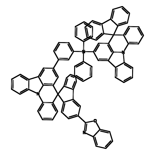 c1ccc([Si](c2ccccc2)(c2cccc(-c3cc4c5c(c3)c3ccccc3n5-c3ccccc3C43c4ccccc4-c4cc(-c5nc6ccccc6o5)ccc43)c2)c2cc3c4c(c2)c2ccccc2n4-c2ccccc2C32c3ccccc3-c3ccccc32)cc1